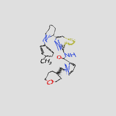 Cc1ccc(N2CCC[C@@H]2c2csc(NC(=O)c3cccn3CC3CCOCC3)n2)cc1